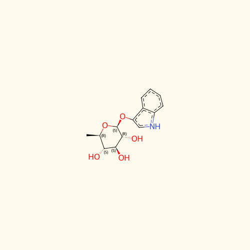 C[C@H]1O[C@@H](Oc2c[nH]c3ccccc23)[C@H](O)[C@@H](O)[C@@H]1O